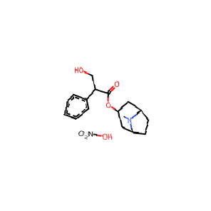 CN1C2CCC1CC(OC(=O)C(CO)c1ccccc1)C2.O=[N+]([O-])O